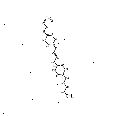 C=CCCC1CCC(CC=CCC2CCC(CCCCC)CC2)CC1